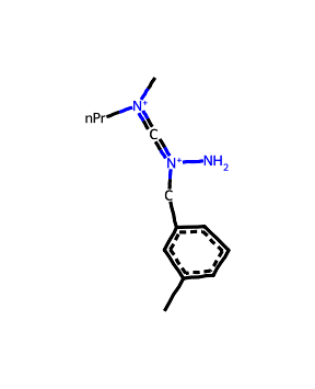 CCC[N+](C)=C=[N+](N)Cc1cccc(C)c1